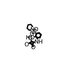 COc1c(Nc2cccc(S(=O)(=O)N3CCCCC3)c2O)c(=O)c1=O